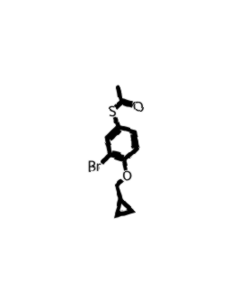 CC(=O)Sc1ccc(OCC2CC2)c(Br)c1